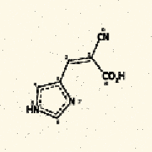 N#CC(=Cc1c[nH]cn1)C(=O)O